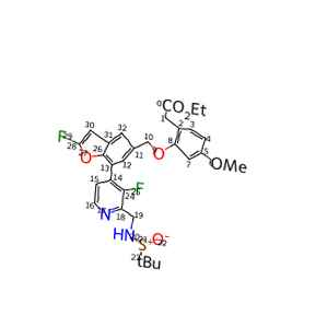 CCOC(=O)Cc1ccc(OC)cc1OCc1cc(-c2ccnc(CN[S@@+]([O-])C(C)(C)C)c2F)c2oc(F)cc2c1